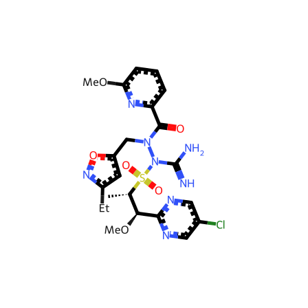 CCc1cc(CN(C(=O)c2cccc(OC)n2)N(C(=N)N)S(=O)(=O)[C@@H](C)[C@H](OC)c2ncc(Cl)cn2)on1